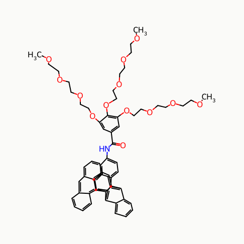 COCCOCCOCCOc1cc(C(=O)Nc2ccc(-c3c(-c4c5ccccc5cc5ccccc45)c4c5ccccc5c3c3ccccc34)cc2)cc(OCCOCCOCCOC)c1OCCOCCOCCOC